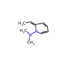 C/C=C1/C=CC=CN1N(C)C